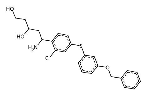 NC(CC(O)CCO)c1ccc(Sc2cccc(OCc3ccccc3)c2)cc1Cl